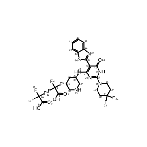 O=C(O)C(F)(F)F.O=C(O)C(F)(F)F.O=c1[nH]c(N2CCC(F)(F)CC2)nc(N[C@@H]2CCCNC2)c1-c1nc2ccccc2s1